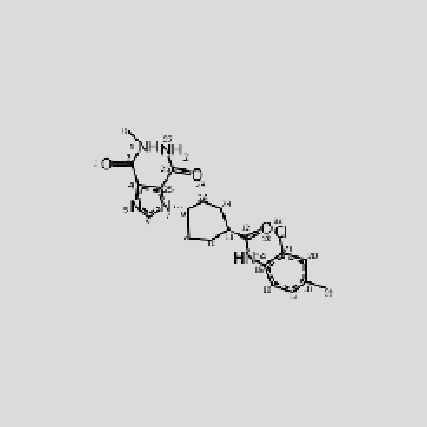 CNC(=O)c1ncn([C@H]2CC[C@H](C(=O)Nc3ccc(C)cc3Cl)CC2)c1C(N)=O